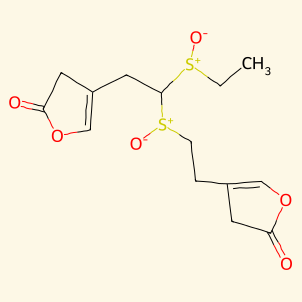 CC[S+]([O-])C(CC1=COC(=O)C1)[S+]([O-])CCC1=COC(=O)C1